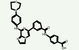 O=C(O)c1ccc(NC(=O)c2cccc(-c3cn4ccnc4c(Nc4ccc(N5CCOCC5)cc4)n3)c2)cc1